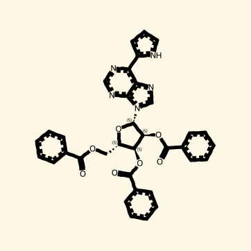 O=C(OC[C@@H]1O[C@H](n2cnc3c(-c4ccc[nH]4)ncnc32)[C@@H](OC(=O)c2ccccc2)[C@H]1OC(=O)c1ccccc1)c1ccccc1